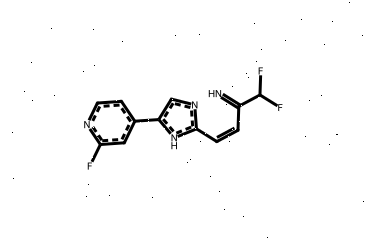 N=C(/C=C\c1ncc(-c2ccnc(F)c2)[nH]1)C(F)F